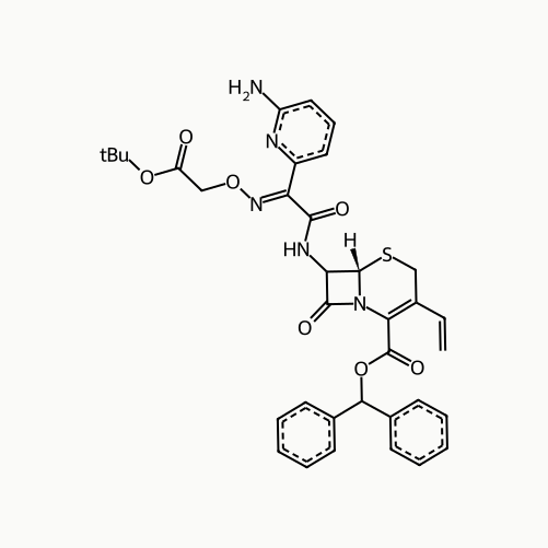 C=CC1=C(C(=O)OC(c2ccccc2)c2ccccc2)N2C(=O)C(NC(=O)C(=NOCC(=O)OC(C)(C)C)c3cccc(N)n3)[C@@H]2SC1